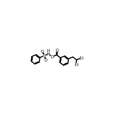 CCC(CC)Cc1cccc(C(=O)ONS(=O)(=O)c2ccccc2)c1